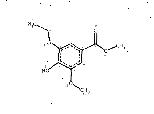 CCOc1cc(C(=O)OC)cc(OC)c1O